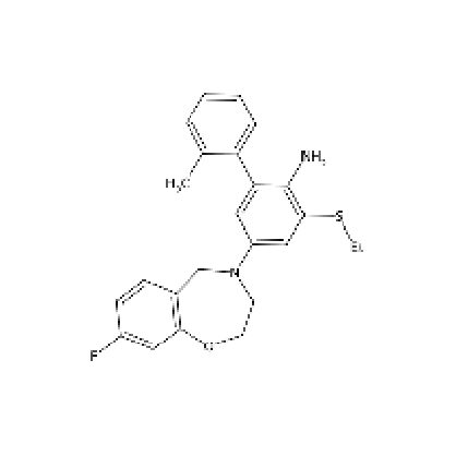 CCSc1cc(N2CCOc3cc(F)ccc3C2)cc(-c2ccccc2C)c1N